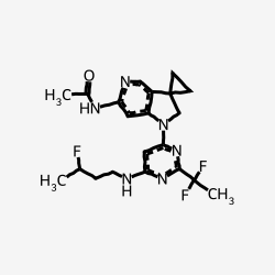 CC(=O)Nc1cc2c(cn1)C1(CC1)CN2c1cc(NCCC(C)F)nc(C(C)(F)F)n1